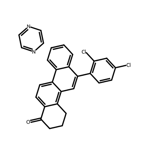 O=C1CCCc2c1ccc1c2cc(-c2ccc(Cl)cc2Cl)c2ccccc21.c1cnccn1